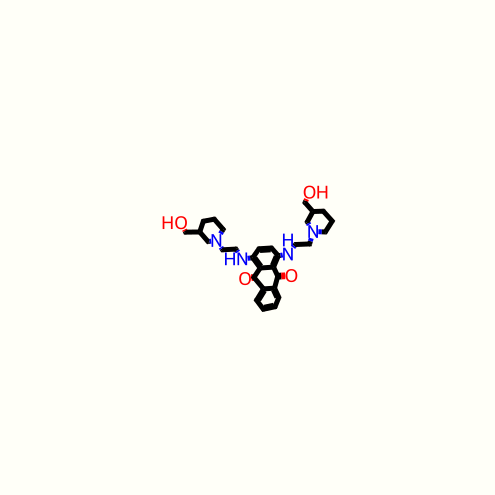 O=C1c2ccccc2C(=O)c2c(NCCN3CCCC(CO)C3)ccc(NCCN3CCCC(CO)C3)c21